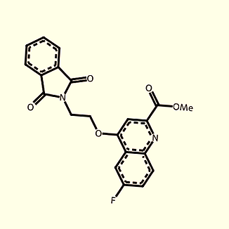 COC(=O)c1cc(OCCN2C(=O)c3ccccc3C2=O)c2cc(F)ccc2n1